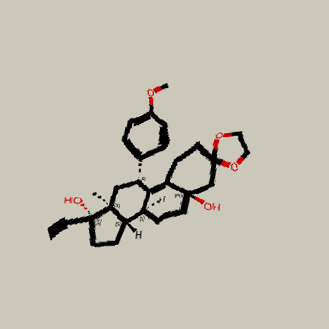 C#C[C@]1(O)CC[C@H]2[C@@H]3CC[C@@]4(O)CC5(CCC4=C3[C@@H](c3ccc(OC)cc3)C[C@@]21C)OCCO5